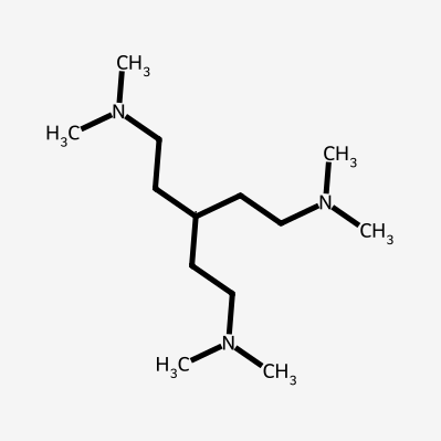 CN(C)CC[C](CCN(C)C)CCN(C)C